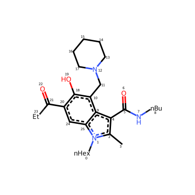 CCCCCCn1c(C)c(C(=O)NCCCC)c2c(CN3CCCCC3)c(O)c(C(=O)CC)cc21